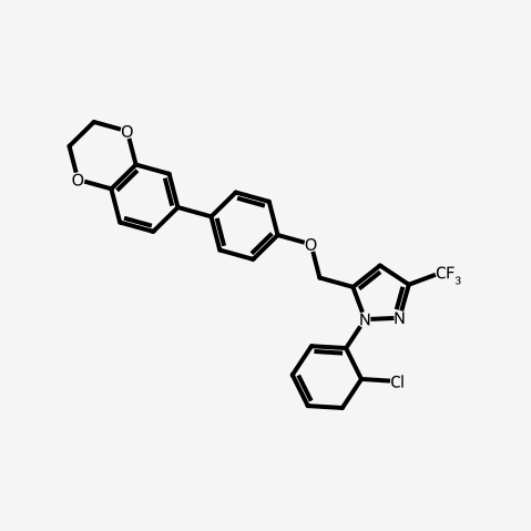 FC(F)(F)c1cc(COc2ccc(-c3ccc4c(c3)OCCO4)cc2)n(C2=CC=CCC2Cl)n1